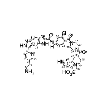 NCCc1ccc(-c2[nH]nc(C(F)(F)F)c2Cc2cnc(C(=O)Nc3ccc(C(=O)N4CCN(C(=O)C5CC[N+](CC(=O)O)(CC6CNC6)CC5)CC4)c(Cl)c3)[nH]2)nc1